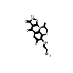 CC1COc2c(NCCN)c(F)cc3c(=O)c4c(=O)[nH]sc4n1c23